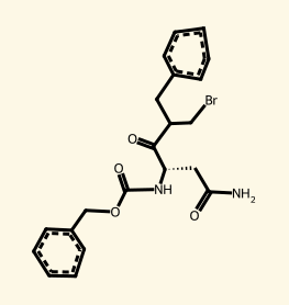 NC(=O)C[C@H](NC(=O)OCc1ccccc1)C(=O)C(CBr)Cc1ccccc1